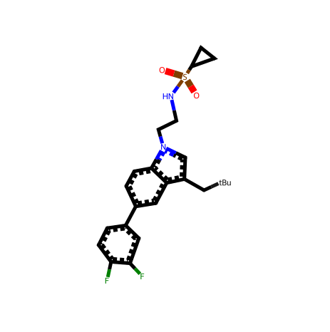 CC(C)(C)Cc1cn(CCNS(=O)(=O)C2CC2)c2ccc(-c3ccc(F)c(F)c3)cc12